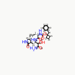 CC(C)C[C@H](NC(=O)OC1(Cc2ccccc2)CCC1)C(=O)N[C@@H](CC1CCNC1=O)C(O)C(N)=O